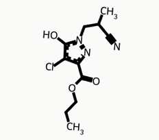 CCCOC(=O)c1nn(CC(C)C#N)c(O)c1Cl